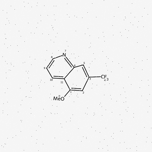 COc1cc(C(F)(F)F)cc2ncccc12